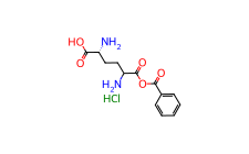 Cl.NC(CC[C@@H](N)C(=O)O)C(=O)OC(=O)c1ccccc1